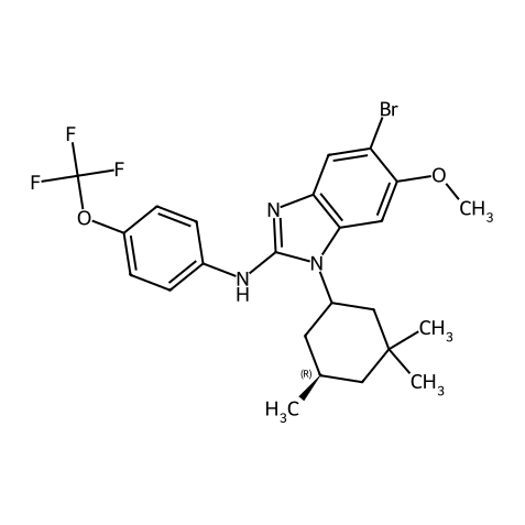 COc1cc2c(cc1Br)nc(Nc1ccc(OC(F)(F)F)cc1)n2C1C[C@H](C)CC(C)(C)C1